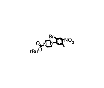 Cc1cc(N2CCN(C(=O)OC(C)(C)C)CC2)c(Br)cc1[N+](=O)[O-]